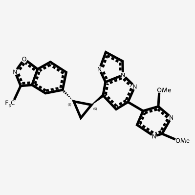 COc1ncc(-c2cc([C@H]3C[C@@H]3c3ccc4onc(C(F)(F)F)c4c3)c3nccn3n2)c(OC)n1